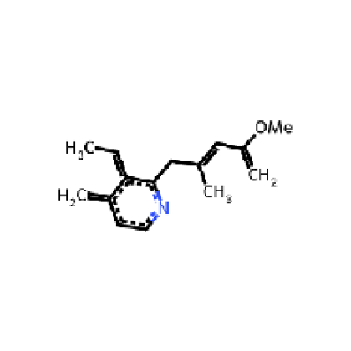 C=C(/C=C(\C)Cc1nccc(=C)/c1=C\C)OC